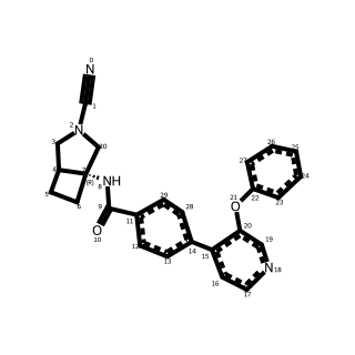 N#CN1CC2CC[C@]2(NC(=O)c2ccc(-c3ccncc3Oc3ccccc3)cc2)C1